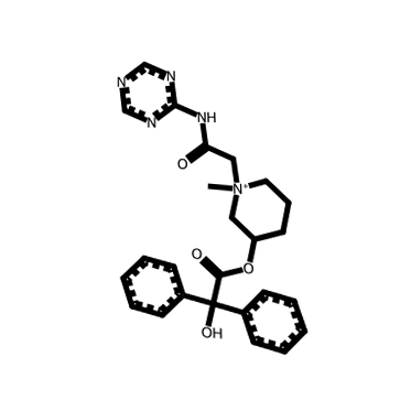 C[N+]1(CC(=O)Nc2ncncn2)CCCC(OC(=O)C(O)(c2ccccc2)c2ccccc2)C1